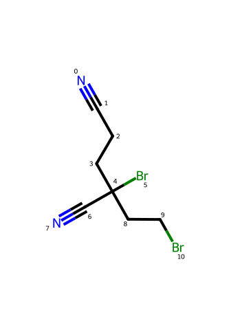 N#CCCC(Br)(C#N)CCBr